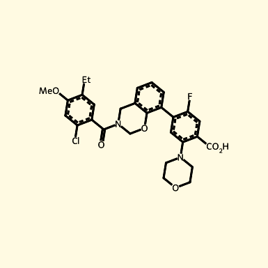 CCc1cc(C(=O)N2COc3c(cccc3-c3cc(N4CCOCC4)c(C(=O)O)cc3F)C2)c(Cl)cc1OC